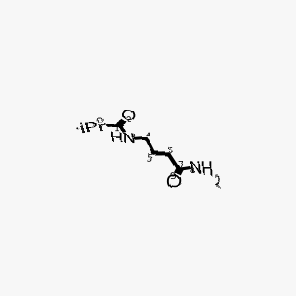 C[C](C)C(=O)NCCCC(N)=O